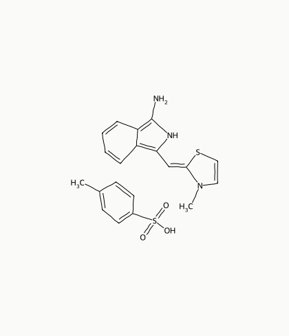 CN1C=CSC1=Cc1[nH]c(N)c2ccccc12.Cc1ccc(S(=O)(=O)O)cc1